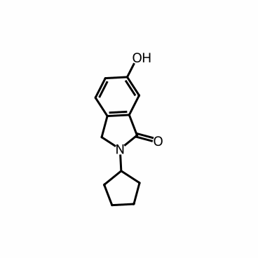 O=C1c2cc(O)ccc2CN1C1CCCC1